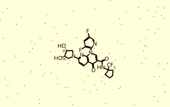 O=C(NC1(C(F)(F)F)CCCC1)c1cn(-c2ncc(F)cc2F)c2nc(N3C[C@@H](O)[C@H](O)C3)ccc2c1=O